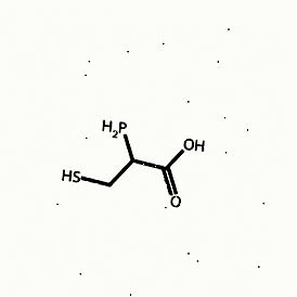 O=C(O)C(P)CS